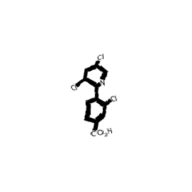 O=C(O)c1ccc(-c2ncc(Cl)cc2Cl)c(Cl)c1